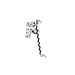 CCCCCCCCCCCC(CCC[Si](OC)(OC)OC)CC(C)(C)N.Cl